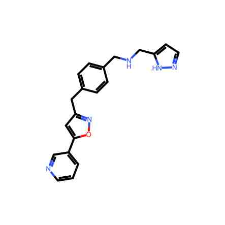 c1cncc(-c2cc(Cc3ccc(CNCc4ccn[nH]4)cc3)no2)c1